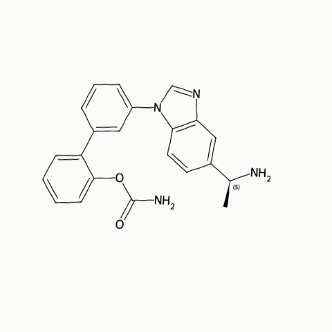 C[C@H](N)c1ccc2c(c1)ncn2-c1cccc(-c2ccccc2OC(N)=O)c1